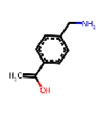 C=C(O)c1ccc(CN)cc1